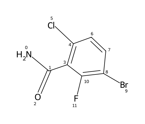 NC(=O)c1c(Cl)ccc(Br)c1F